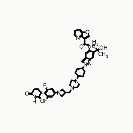 CC(C)(O)c1cc2nn(C3CCC(N4CCN(CC5CN(c6cc(F)c([C@H]7CCC(=O)NC7=O)c(F)c6)C5)CC4)CC3)cc2cc1NC(=O)c1coc2cccnc12